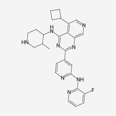 CC1CNCCC1Nc1nc(-c2ccnc(Nc3ncccc3F)c2)nc2cncc(C3CCC3)c12